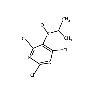 CC(C)[S+]([O-])c1c(Cl)nc(Cl)nc1Cl